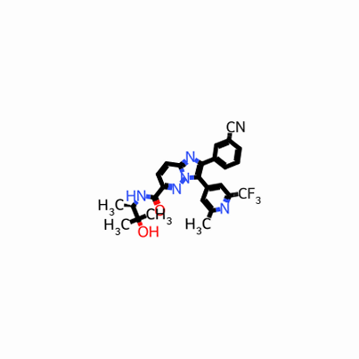 Cc1cc(-c2c(-c3cccc(C#N)c3)nc3ccc(C(=O)N[C@H](C)C(C)(C)O)nn23)cc(C(F)(F)F)n1